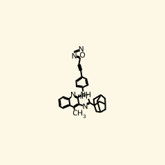 CCC/C(=N\c1c(Nc2ccc(C#Cc3ncno3)cc2)nc2ccccc2c1C)C12CC3CC(CC(C3)C1)C2